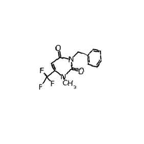 Cn1c(C(F)(F)F)cc(=O)n(Cc2ccccc2)c1=O